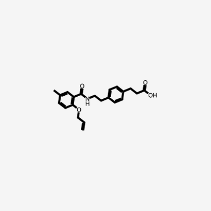 C=CCOc1ccc(C)cc1C(=O)NCCc1ccc(CCC(=O)O)cc1